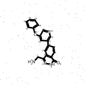 NCc1n[nH]c(=O)c2ccc(-c3cncc(Oc4ccccc4)c3)cc12